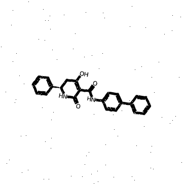 O=C(Nc1ccc(-c2ccccc2)cc1)C1=C(O)C[C@H](c2ccccc2)NC1=O